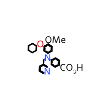 COc1ccc(N(Cc2cccnc2)c2ccc(C(=O)O)cc2)cc1OC1CCCCC1